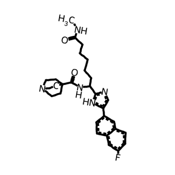 CNC(=O)CCCCCC(NC(=O)C12CCN(CC1)CC2)c1ncc(-c2ccc3cc(F)ccc3c2)[nH]1